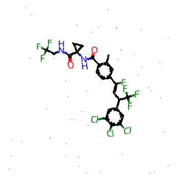 Cc1cc(C(F)=CC(c2cc(Cl)c(Cl)c(Cl)c2)C(F)(F)F)ccc1C(=O)NC1(C(=O)NCC(F)(F)F)CC1